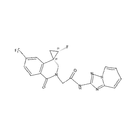 O=C(CN1C[C@@]2(C[C@@H]2F)c2cc(C(F)(F)F)ccc2C1=O)Nc1nc2ccccn2n1